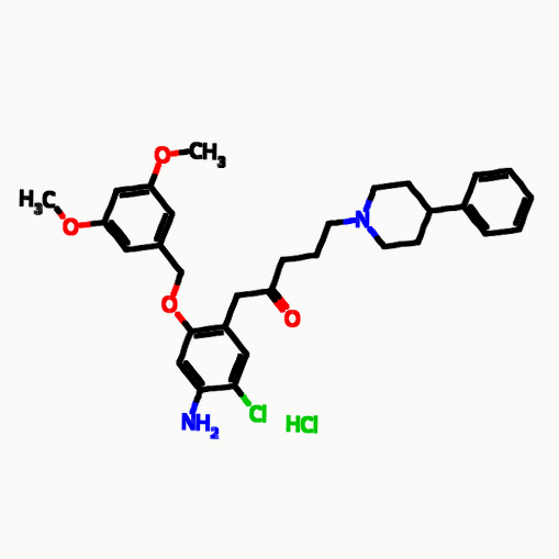 COc1cc(COc2cc(N)c(Cl)cc2CC(=O)CCCN2CCC(c3ccccc3)CC2)cc(OC)c1.Cl